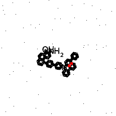 Nc1ccc2c(ccc3cccc(-c4ccc(-c5ccc(N(c6ccc(-c7ccccc7)cc6)c6ccccc6-c6ccccc6)cc5)cc4)c32)c1O